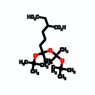 C[Si](C)(C)O[Si](C)(C)O[Si](C)(CCCC(CC(=O)O)C(=O)O)O[Si](C)(C)C